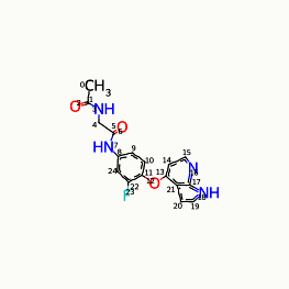 CC(=O)NCC(=O)Nc1ccc(Oc2ccnc3[nH]ccc23)c(F)c1